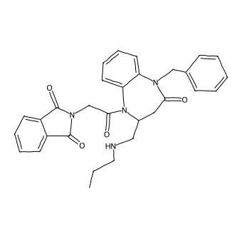 CCCNCC1CC(=O)N(Cc2ccccc2)c2ccccc2N1C(=O)CN1C(=O)c2ccccc2C1=O